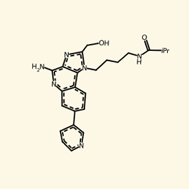 CC(C)C(=O)NCCCCn1c(CO)nc2c(N)nc3cc(-c4cccnc4)ccc3c21